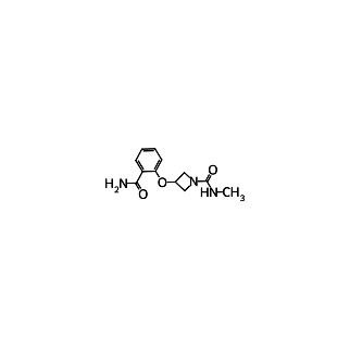 CNC(=O)N1CC(Oc2ccccc2C(N)=O)C1